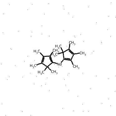 CC1=C(C)C(C)(C)[C]([Nd][C]2=C(C)C(C)=C(C)C2(C)C)=C1C